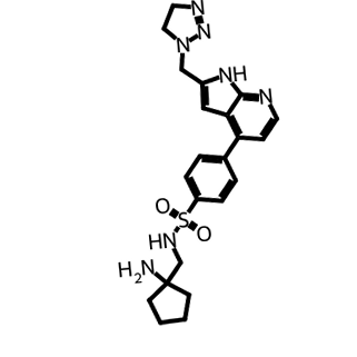 NC1(CNS(=O)(=O)c2ccc(-c3ccnc4[nH]c(CN5CCN=N5)cc34)cc2)CCCC1